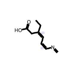 C=N/C=C\C=C(\CC)CC(=O)O